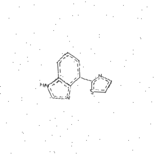 [c]1nc2c(-c3nccs3)cccc2[nH]1